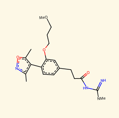 CNC(=N)NC(=O)CCc1ccc(-c2c(C)noc2C)c(OCCCOC)c1